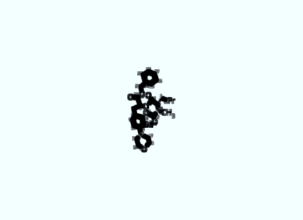 CC(C)C[C@@H](C(=O)OC(Cc1ccc(N2CCOCC2)cc1)C(=O)OCc1ccccc1)N(C)C(=O)OC(C)(C)C